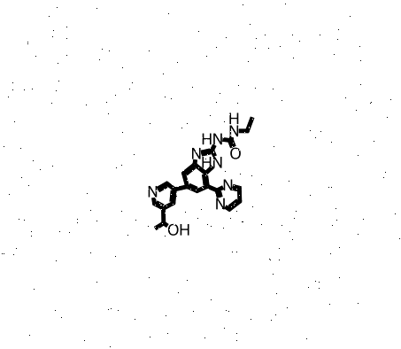 CCNC(=O)Nc1nc2cc(-c3cncc(C(C)O)c3)cc(-c3ncccn3)c2[nH]1